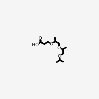 CC(C)OCC(C)OCC(C)OCCC(=O)O